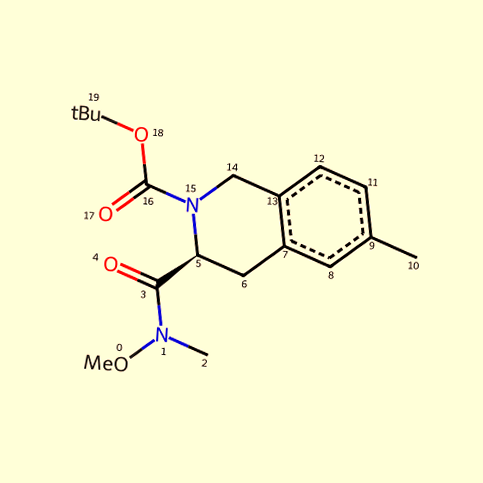 CON(C)C(=O)[C@@H]1Cc2cc(C)ccc2CN1C(=O)OC(C)(C)C